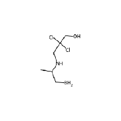 BCC(C)NCC(Cl)(Cl)CO